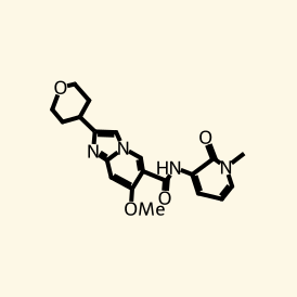 COc1cc2nc(C3CCOCC3)cn2cc1C(=O)Nc1cccn(C)c1=O